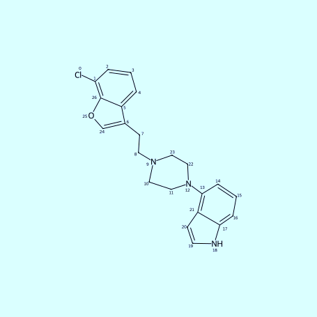 Clc1cccc2c(CCN3CCN(c4cccc5[nH]ccc45)CC3)coc12